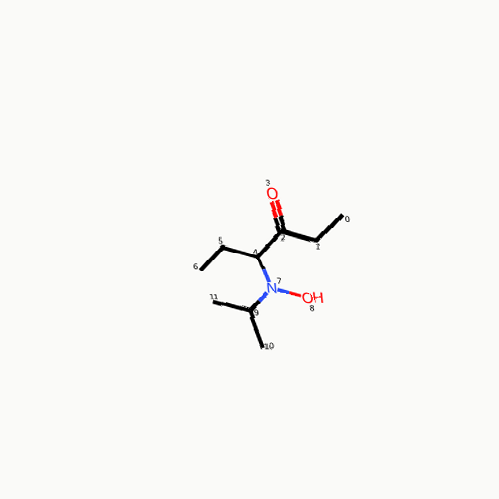 CCC(=O)C(CC)N(O)C(C)C